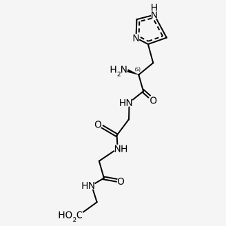 N[C@@H](Cc1c[nH]cn1)C(=O)NCC(=O)NCC(=O)NCC(=O)O